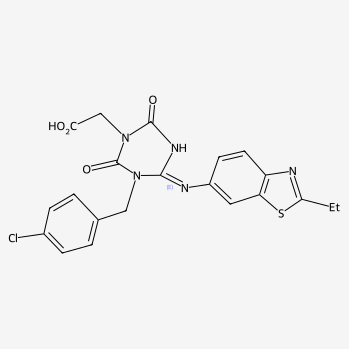 CCc1nc2ccc(/N=c3\[nH]c(=O)n(CC(=O)O)c(=O)n3Cc3ccc(Cl)cc3)cc2s1